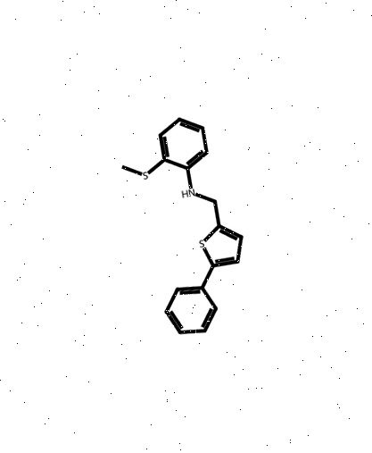 CSc1ccccc1NCc1ccc(-c2ccccc2)s1